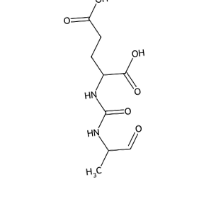 CC(C=O)NC(=O)NC(CCC(=O)O)C(=O)O